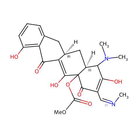 C/N=C\C1=C(O)C(N(C)C)[C@@H]2C[C@@H]3Cc4cccc(O)c4C(=O)C3=C(O)C2(OC(=O)OC)C1=O